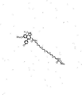 COc1ccc2c(c1)C(c1ccc(Cl)cc1)=N[C@@H](CC(=O)NCCOCCOCCOCCOCCOCCNC(=O)OC(C)(C)C)c1nnc(C)n1-2